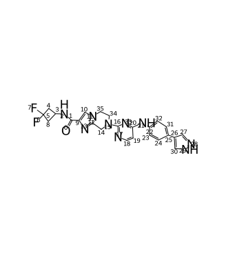 O=C(NC1CC(F)(F)C1)c1cn2c(n1)CN(c1nccc(Nc3ccc(-c4cn[nH]c4)cc3)n1)CC2